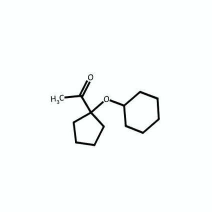 CC(=O)C1(OC2CCCCC2)CCCC1